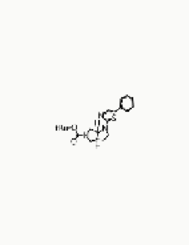 CC(C)(C)OC(=O)N1C[C@H]2CCN(c3ncc(-c4ccccc4)s3)[C@H]2C1